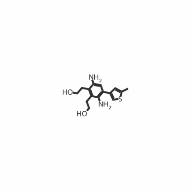 Cc1cc(-c2cc(N)c(CCO)c(CCO)c2N)cs1